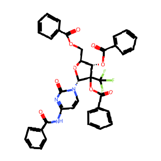 O=C(Nc1ccn([C@@H]2OC(COC(=O)c3ccccc3)[C@H](OC(=O)c3ccccc3)C2(OC(=O)c2ccccc2)C(F)(F)F)c(=O)n1)c1ccccc1